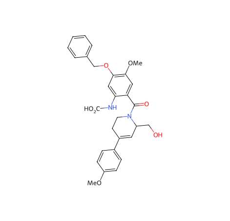 COc1ccc(C2=CC(CO)N(C(=O)c3cc(OC)c(OCc4ccccc4)cc3NC(=O)O)CC2)cc1